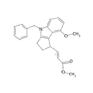 COC(=O)/C=C/C1CCc2c1c1c(OC)cccc1n2Cc1ccccc1